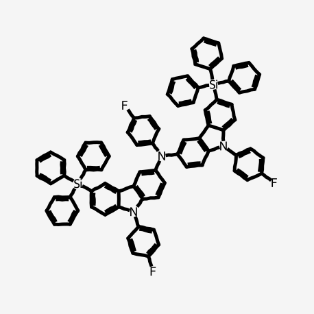 Fc1ccc(N(c2ccc3c(c2)c2cc([Si](c4ccccc4)(c4ccccc4)c4ccccc4)ccc2n3-c2ccc(F)cc2)c2ccc3c(c2)c2cc([Si](c4ccccc4)(c4ccccc4)c4ccccc4)ccc2n3-c2ccc(F)cc2)cc1